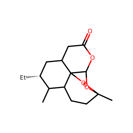 CC[C@@H]1CC2CC(=O)OC3OC4(C)CCC(C1C)C23OO4